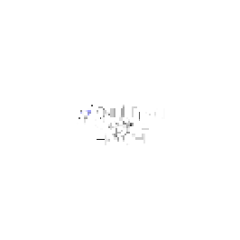 CO/N=c1/nc[nH]c2c1ccn2[C@@H]1O[C@H]([C@](O)(c2ccc(Cl)cc2)C(F)(F)F)[C@@H](O)[C@H]1O